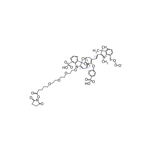 C[N+]1=C(/C=C/C2=C(Oc3ccc(S(=O)(=O)O)cc3)C(=C/C=C3/N(OCCOCCOCCOCCCCC(=O)ON4C(=O)CCC4=O)c4c(cccc4S(=O)(=O)O)C3(C)C)/CCC2)C(C)(C)c2cccc(SOO[O-])c21